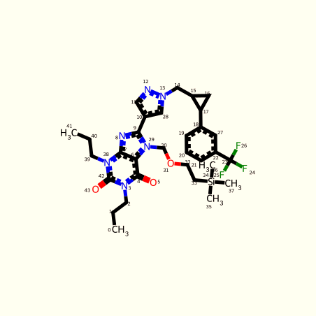 CCCn1c(=O)c2c(nc(-c3cnn(CC4CC4c4cccc(C(F)(F)F)c4)c3)n2COCC[Si](C)(C)C)n(CCC)c1=O